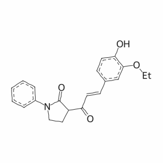 CCOc1cc(C=CC(=O)C2CCN(c3ccccc3)C2=O)ccc1O